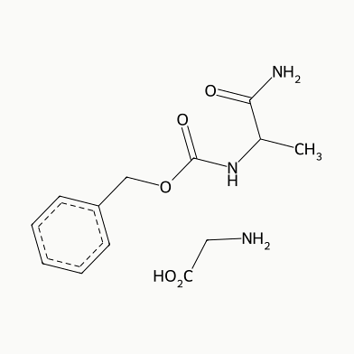 CC(NC(=O)OCc1ccccc1)C(N)=O.NCC(=O)O